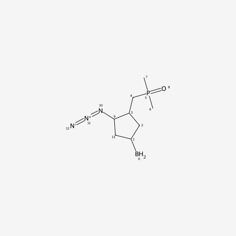 BC1CC(CP(C)(C)=O)C(N=[N+]=[N-])C1